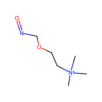 C[N+](C)(C)CCOCN=O